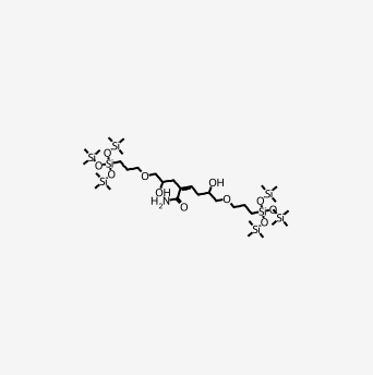 C[Si](C)(C)O[Si](CCCOCC(O)CC=C(CC(O)COCCC[Si](O[Si](C)(C)C)(O[Si](C)(C)C)O[Si](C)(C)C)C(N)=O)(O[Si](C)(C)C)O[Si](C)(C)C